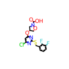 O=C(O)N1CC(Oc2cc(Cl)nc(SCc3cccc(F)c3F)n2)CO1